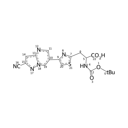 CC(C)(C)OC(=O)NC(Cc1nc(-c2cnc3cc(C#N)nn3c2)cs1)C(=O)O